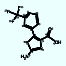 Nc1nc(C(=O)O)c(-c2cccc(C(F)(F)F)c2)s1